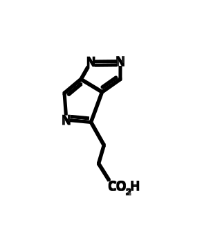 O=C(O)CCC1=NC=C2N=NC=C21